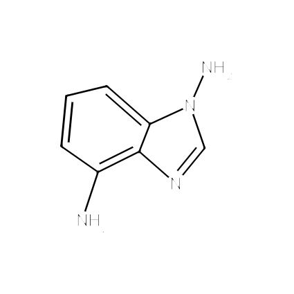 Nc1cccc2c1ncn2N